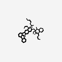 C/C=C\C=C1\C2=C(CCC=C2)C(C)C(CC)(Cc2cc3cc4c(cc3c(/C=C\C)[n+]2C(C)C/C=C\CC)c2cccc3c5ccccc5n4c32)N1C